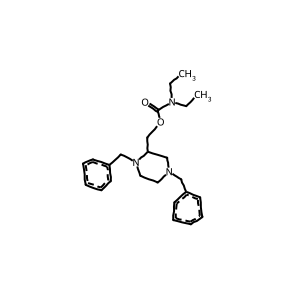 CCN(CC)C(=O)OCC1CN(Cc2ccccc2)CCN1Cc1ccccc1